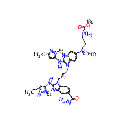 CCn1nc(C)cc1Nc1nc2cc(C(N)=O)ccc2n1C/C=C/Cn1c(Nc2cc(C)nn2CC)nc2cc(N(C=O)CCCNC(=O)OC(C)(C)C)ccc21